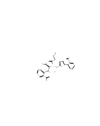 CCCCc1nc(Cl)c(C(OC)c2ccccc2C(=O)O)n1Cc1ccc(-c2ccccc2C(=O)O)s1